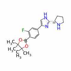 CC1(C)OB(c2ccc(-c3c[nH]c([C@@H]4CCCN4)n3)cc2F)OC1(C)C